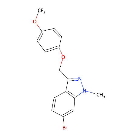 Cn1nc(COc2ccc(OC(F)(F)F)cc2)c2ccc(Br)cc21